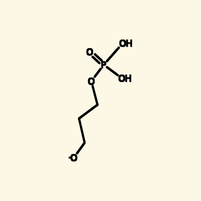 [O]CCCOP(=O)(O)O